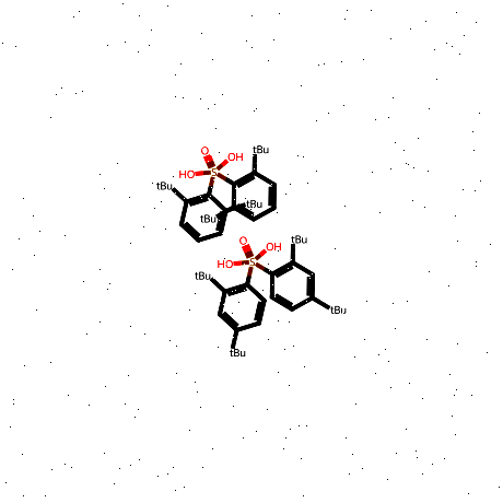 CC(C)(C)c1ccc(S(=O)(O)(O)c2ccc(C(C)(C)C)cc2C(C)(C)C)c(C(C)(C)C)c1.CC(C)(C)c1cccc(C(C)(C)C)c1S(=O)(O)(O)c1c(C(C)(C)C)cccc1C(C)(C)C